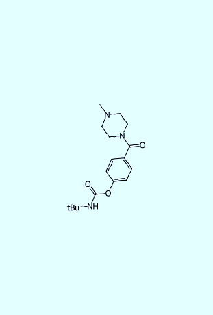 CN1CCN(C(=O)c2ccc(OC(=O)NC(C)(C)C)cc2)CC1